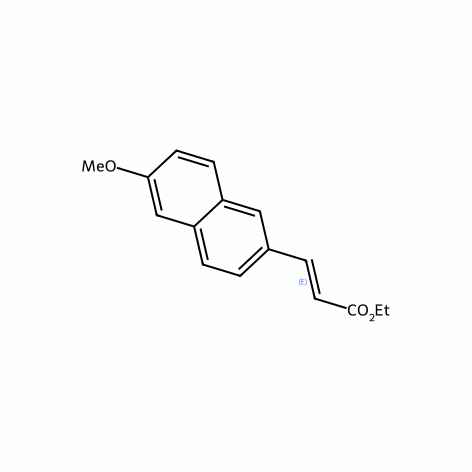 CCOC(=O)/C=C/c1ccc2cc(OC)ccc2c1